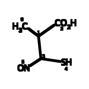 CC(C(=O)O)C(S)N=O